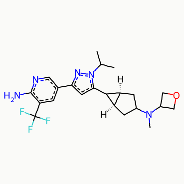 CC(C)n1nc(-c2cnc(N)c(C(F)(F)F)c2)cc1C1[C@H]2CC(N(C)C3COC3)C[C@@H]12